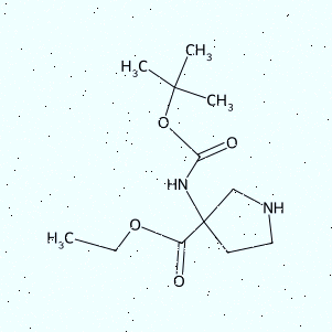 CCOC(=O)C1(NC(=O)OC(C)(C)C)CCNC1